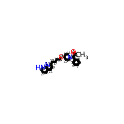 CC(=O)[C@@H](c1ccccc1)N1CCC(OCCCCc2ccc3c(n2)NCCC3)CC1